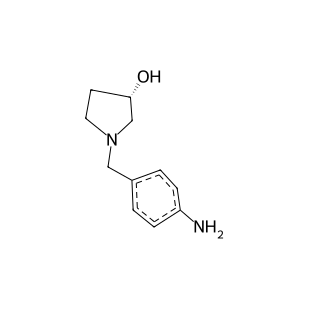 Nc1ccc(CN2CC[C@H](O)C2)cc1